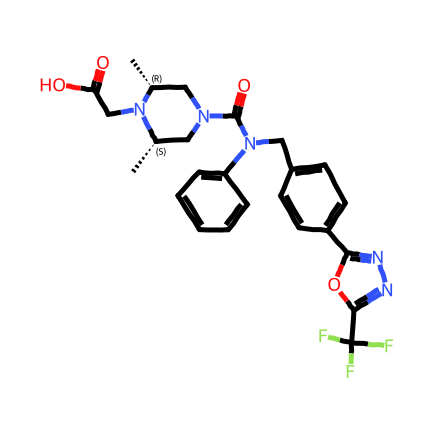 C[C@@H]1CN(C(=O)N(Cc2ccc(-c3nnc(C(F)(F)F)o3)cc2)c2ccccc2)C[C@H](C)N1CC(=O)O